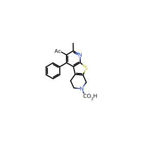 CC(=O)c1c(C)nc2sc3c(c2c1-c1ccccc1)CCN(C(=O)O)C3